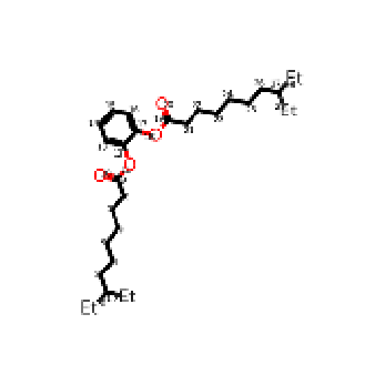 CCC(CC)CCCCCCC(=O)Oc1ccccc1OC(=O)CCCCCCC(CC)CC